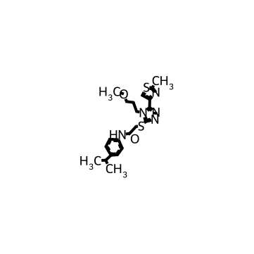 COCCCn1c(SCC(=O)Nc2ccc(C(C)C)cc2)nnc1-c1csc(C)n1